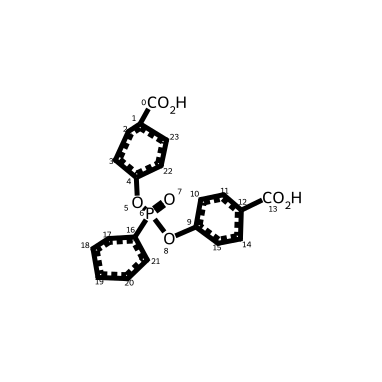 O=C(O)c1ccc(OP(=O)(Oc2ccc(C(=O)O)cc2)c2ccccc2)cc1